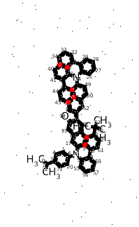 CC(C)c1ccc(N(c2ccc3cc4c(cc3c2)oc2cc3cc(N(c5ccccc5-c5ccccc5)c5ccccc5-c5ccccc5)ccc3cc24)c2ccccc2-c2ccc(C(C)(C)C)cc2)cc1